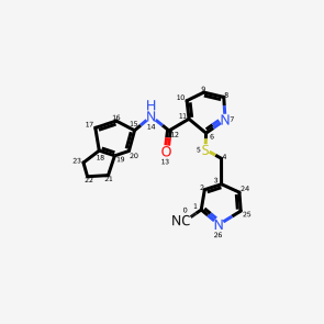 N#Cc1cc(CSc2ncccc2C(=O)Nc2ccc3c(c2)CCC3)ccn1